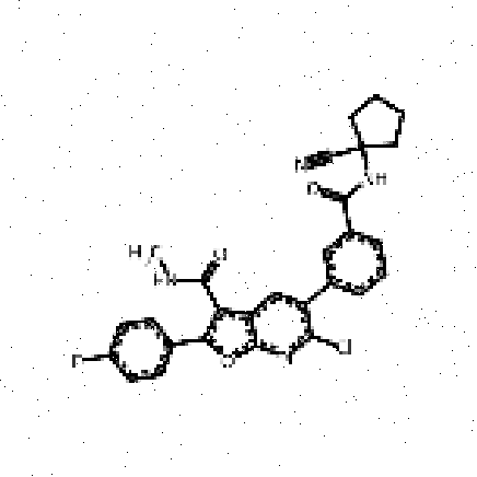 CNC(=O)c1c(-c2ccc(F)cc2)oc2nc(Cl)c(-c3cccc(C(=O)NC4(C#N)CCCC4)c3)cc12